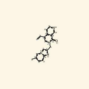 C=Cc1cn(Cc2cn3cc(C)ccc3n2)c(=O)c2cnccc12